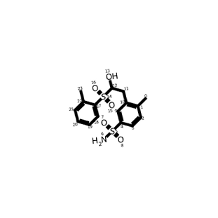 Cc1ccc(S(N)(=O)=O)cc1CC(O)S(=O)(=O)c1ccccc1C